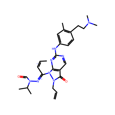 C=CCn1c(=O)c2cnc(Nc3ccc(CCN(C)C)c(C)c3)nc2n1C(/C=C\C)=N/N(C=O)C(C)C